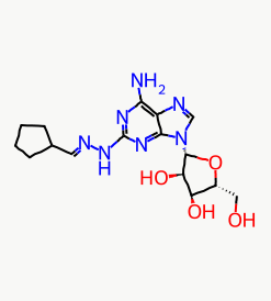 Nc1nc(N/N=C/C2CCCC2)nc2c1ncn2[C@@H]1O[C@H](CO)[C@@H](O)[C@H]1O